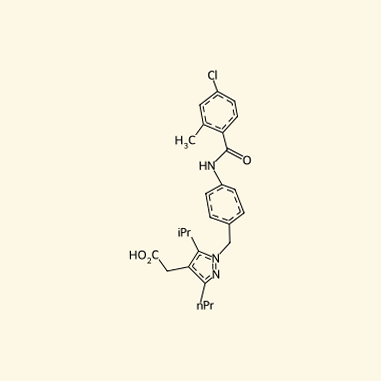 CCCc1nn(Cc2ccc(NC(=O)c3ccc(Cl)cc3C)cc2)c(C(C)C)c1CC(=O)O